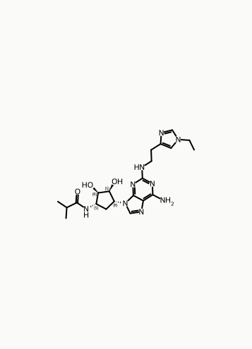 CCn1cnc(CCNc2nc(N)c3ncn([C@@H]4C[C@H](NC(=O)C(C)C)[C@@H](O)[C@H]4O)c3n2)c1